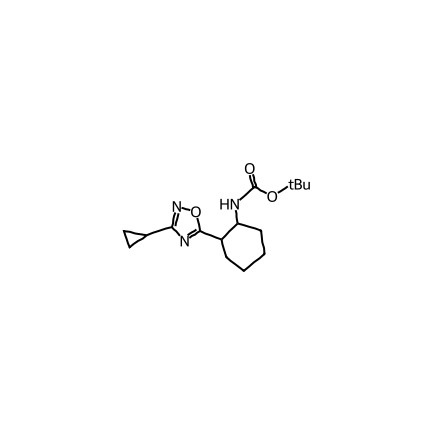 CC(C)(C)OC(=O)NC1CCCCC1c1nc(C2CC2)no1